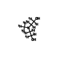 [2H]C([2H])([2H])N(C([2H])([2H])C([2H])([2H])O)C([2H])([2H])C([2H])([2H])O